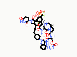 CN1CC[C@H]2CC[C@@H](C(=O)N[C@@H](COC(N)=O)C(=O)N[C@H](C(=O)NC3CCC(CC#Cc4cccc5c4CN(C4CCC(=O)NC4=O)C5=O)CC3)c3ccccc3)N2C(=O)[C@@H](NC(=O)c2cc3cc(C(F)(F)P(=O)(O)O)ccc3s2)C1